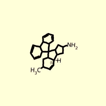 CC1C=C[C@@H]2C3CC(N)CC3C3(C4C=CC=CC4C4C=CC=CC43)C2C1